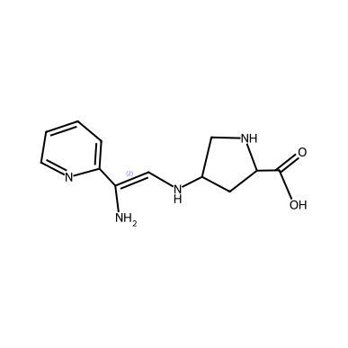 N/C(=C\NC1CNC(C(=O)O)C1)c1ccccn1